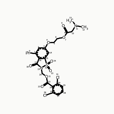 CC(C)c1cc(OCCOC(=O)CN(C)C)cc2c1C(=O)N(COC(=O)c1c(Cl)cccc1Cl)S2(=O)=O